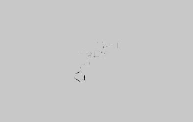 O=C(OCc1ccccc1)N1CC(F)(C(=O)O)C1